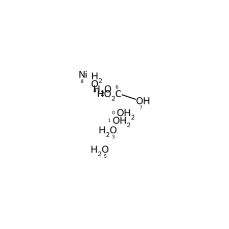 O.O.O.O.O.O.O=C(O)O.[Ni]